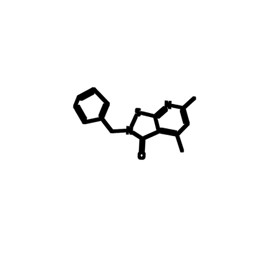 Cc1cc(C)c2c(=O)n(Cc3ccccc3)sc2n1